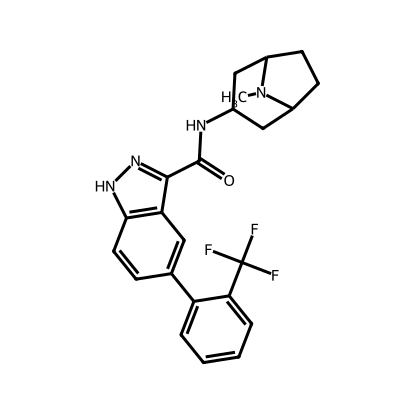 CN1C2CCC1CC(NC(=O)c1n[nH]c3ccc(-c4ccccc4C(F)(F)F)cc13)C2